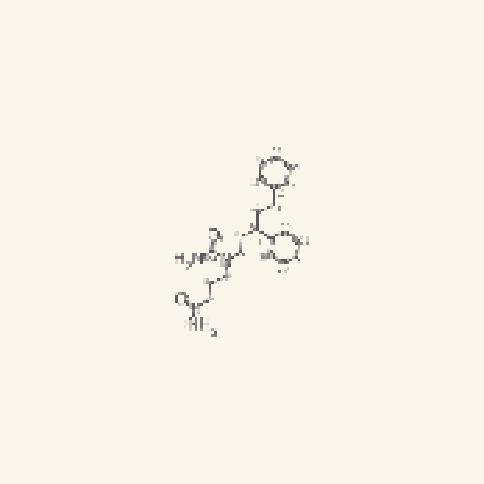 NC(=O)CCCN(CCC(CCc1ccccc1)c1ccccc1)C(N)=O